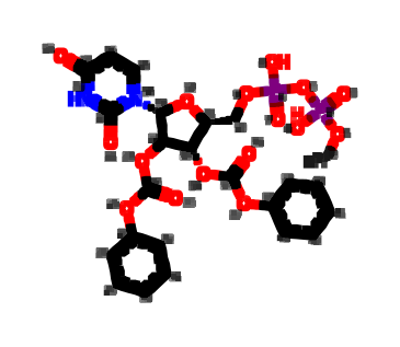 CCCOP(=O)(O)OP(=O)(O)OC[C@H]1O[C@@H](n2ccc(=O)[nH]c2=O)C(OC(=O)Oc2ccccc2)[C@H]1OC(=O)Oc1ccccc1